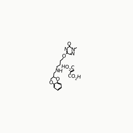 Cn1ncc(OCCCCNCC2COc3ccccc3O2)nc1=O.O=C(O)/C=C/C(=O)O